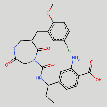 CCC(NC(=O)N1CC(=O)NCC(Cc2cc(Cl)ccc2OC)C1=O)c1ccc(C(=O)O)c(N)c1